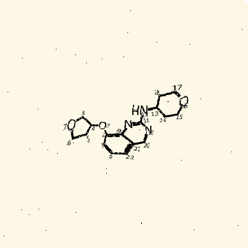 c1cc(OC2CCOC2)c2nc(NC3CCOCC3)ncc2c1